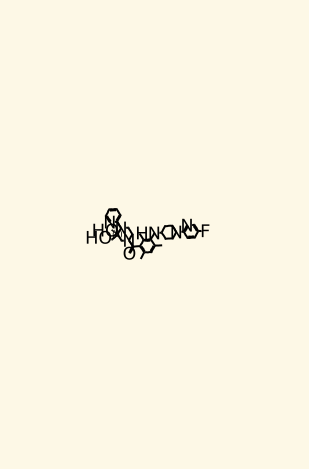 Cc1cc(C)c(C(=O)N2CCN(c3ccccn3)[C@@](O)(CO)C2)c(C)c1NC1CCN(c2ccc(F)cn2)CC1